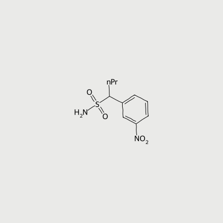 CCCC(c1cccc([N+](=O)[O-])c1)S(N)(=O)=O